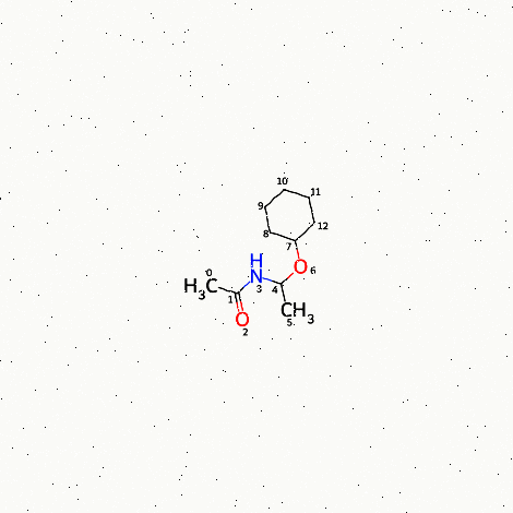 CC(=O)NC(C)OC1CCCCC1